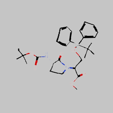 COC(=O)C(CO[Si](c1ccccc1)(c1ccccc1)C(C)(C)C)N1CC[C@H](NC(=O)OC(C)(C)C)C1=O